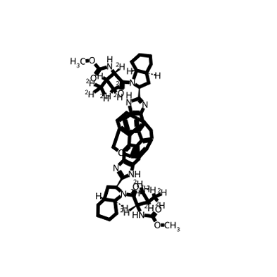 [2H]C([2H])([2H])C([2H])(C([2H])([2H])[2H])[C@]([2H])(NC(=O)OC)C(=O)N1[C@H](c2nc3cc(-c4cc5ccc4CCc4ccc(c(-c6ccc7[nH]c([C@@H]8C[C@@H]9CCCC[C@@H]9N8C(=O)[C@@]([2H])(NC(=O)OC)C([2H])(C([2H])([2H])[2H])C([2H])([2H])[2H])nc7c6)c4)CC5)ccc3[nH]2)C[C@@H]2CCCC[C@@H]21